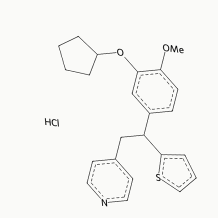 COc1ccc(C(Cc2ccncc2)c2cccs2)cc1OC1CCCC1.Cl